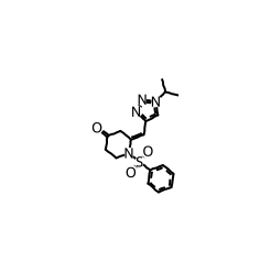 CC(C)n1cc(C=C2CC(=O)CCN2S(=O)(=O)c2ccccc2)nn1